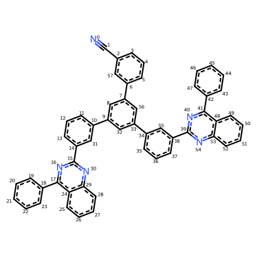 N#Cc1cccc(-c2cc(-c3cccc(-c4nc(-c5ccccc5)c5ccccc5n4)c3)cc(-c3cccc(-c4nc(-c5ccccc5)c5ccccc5n4)c3)c2)c1